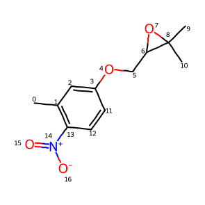 Cc1cc(OCC2OC2(C)C)ccc1[N+](=O)[O-]